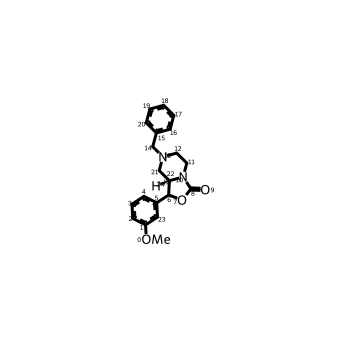 COc1cccc(C2OC(=O)N3CCN(Cc4ccccc4)C[C@@H]23)c1